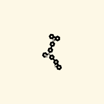 c1ccc(N(c2ccc(-c3ccc(-n4c5ccccc5c5ccccc54)cc3)cc2)c2ccc(-c3ccc4c(c3)sc3ccccc34)cc2)nc1